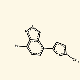 Cc1ccc(-c2ccc(Br)c3nsnc23)s1